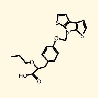 CCCOC(Cc1ccc(OCn2c3sccc3c3ccsc32)cc1)C(=O)O